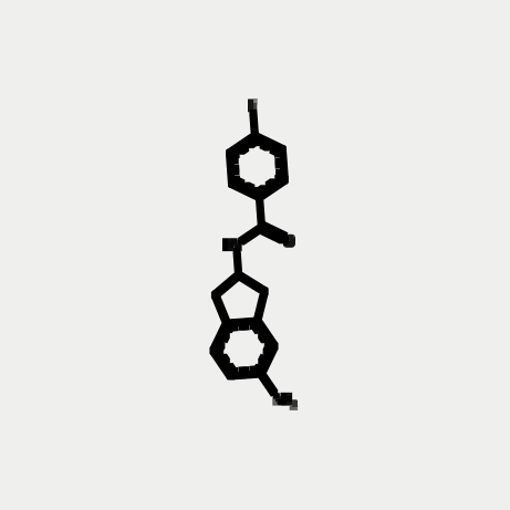 Nc1ccc2c(c1)CC(NC(=O)c1ccc(F)cc1)C2